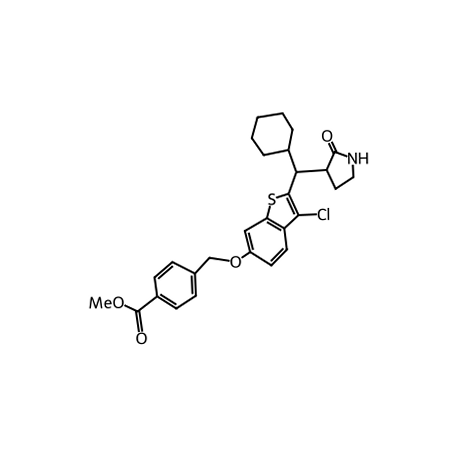 COC(=O)c1ccc(COc2ccc3c(Cl)c(C(C4CCCCC4)C4CCNC4=O)sc3c2)cc1